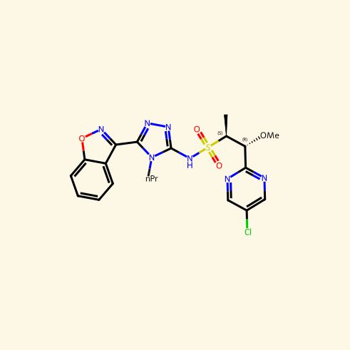 CCCn1c(NS(=O)(=O)[C@@H](C)[C@H](OC)c2ncc(Cl)cn2)nnc1-c1noc2ccccc12